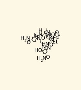 CCn1nc(C)cc1C(=O)Nc1nc2cc(C(N)=O)ccc2n1CCCCn1c(NC(=O)c2cc(C)nn2CC)nc2cc(C(N)=O)cc(O)c21.O=C(O)C(F)(F)F